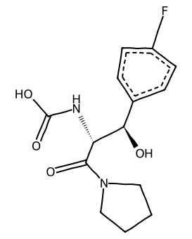 O=C(O)N[C@@H](C(=O)N1CCCC1)[C@H](O)c1ccc(F)cc1